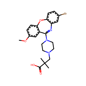 COc1ccc2c(c1)C(N1CCN(CC(C)(C)C(=O)O)CC1)=Nc1cc(Br)ccc1O2